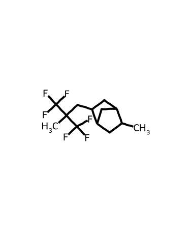 CC1CC2CC1CC2CC(C)(C(F)(F)F)C(F)(F)F